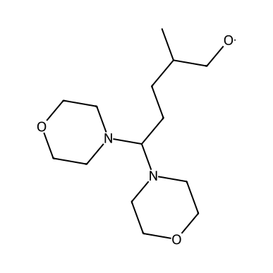 CC(C[O])CCC(N1CCOCC1)N1CCOCC1